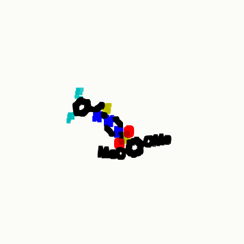 COc1ccc(OC)c(S(=O)(=O)N2CCN(c3nc(-c4cc(F)cc(F)c4)cs3)CC2)c1